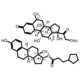 CC(=O)OCC(=O)[C@@]1(O)CC[C@H]2[C@@H]3C[C@H](C)C4=CC(=O)C=C[C@]4(C)[C@H]3[C@@H](O)C[C@@]21C.C[C@]12CC[C@@H]3c4ccc(O)cc4CC[C@H]3[C@@H]1CC[C@@H]2OC(=O)CCC1CCCC1